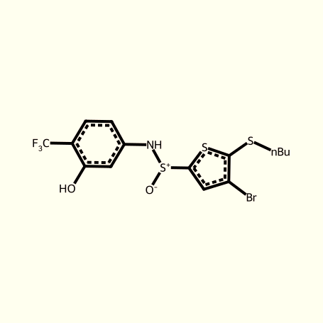 CCCCSc1sc([S+]([O-])Nc2ccc(C(F)(F)F)c(O)c2)cc1Br